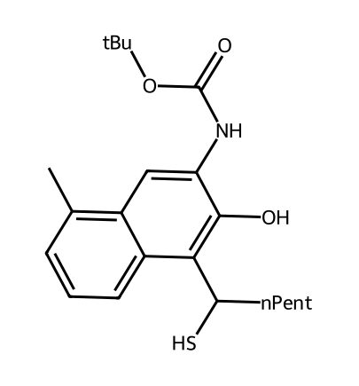 CCCCCC(S)c1c(O)c(NC(=O)OC(C)(C)C)cc2c(C)cccc12